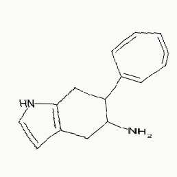 NC1Cc2cc[nH]c2CC1c1ccccc1